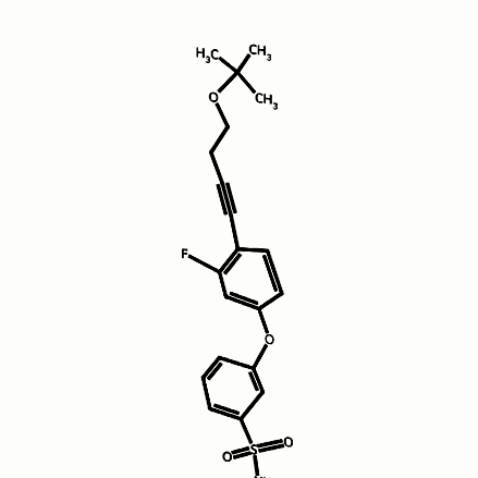 CC(C)(C)OCCC#Cc1ccc(Oc2cccc(S(N)(=O)=O)c2)cc1F